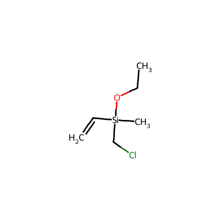 C=C[Si](C)(CCl)OCC